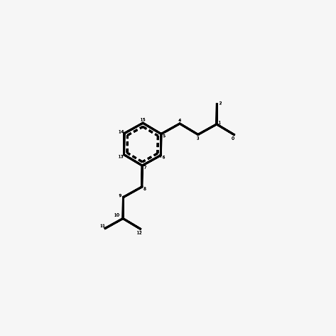 CC(C)CCc1[c]c(CCC(C)C)ccc1